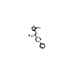 CC(=O)c1sccc1/N=C(\C)N1CCN(c2ccccc2)CC1